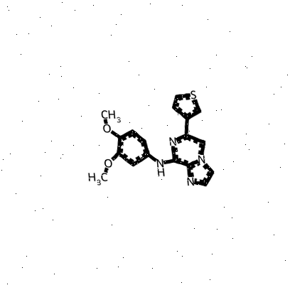 COc1ccc(Nc2nc(-c3ccsc3)cn3ccnc23)cc1OC